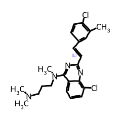 Cc1cc(/C=C/c2nc(N(C)CCCN(C)C)c3cccc(Cl)c3n2)ccc1Cl